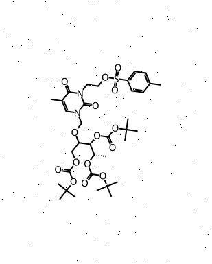 Cc1ccc(S(=O)(=O)OCCn2c(=O)c(C)cn(COC(COC(=O)OC(C)(C)C)[C@@H](OC(=O)OC(C)(C)C)[C@H](C)OC(=O)OC(C)(C)C)c2=O)cc1